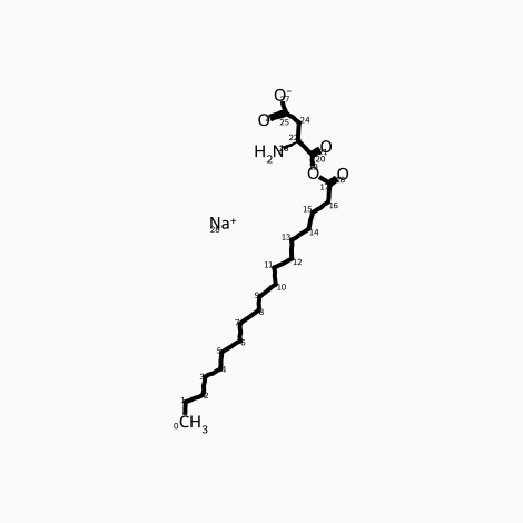 CCCCCCCCCCCCCCCCCC(=O)OC(=O)[C@@H](N)CC(=O)[O-].[Na+]